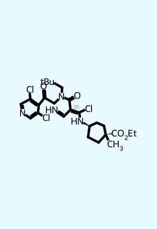 CCOC(=O)[C@]1(C)CC[C@@H](N/C(Cl)=C(\C=N)C(=O)N(CC(=O)c2c(Cl)cncc2Cl)CC(C)(C)C)CC1